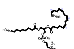 CCCCC/C=C\C/C=C\C/C=C\C/C=C\CCCC(=O)OC(COC(=O)CCCCCCCCCCCCCCCCC)COP(=O)(O)OCC[N+](C)(C)C